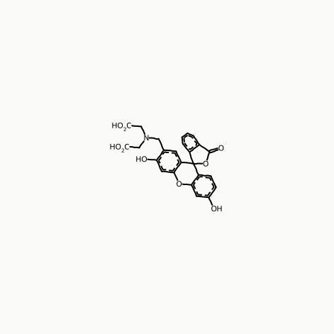 O=C(O)CN(CC(=O)O)Cc1cc2c(cc1O)Oc1cc(O)ccc1C21OC(=O)c2ccccc21